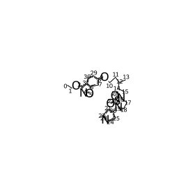 CCOc1noc2cc(OCCC(C)CCN3CCN(c4ccncc4)S3(=O)=O)ccc12